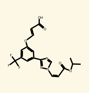 CC(C)OC(=O)/C=C\n1cnc(-c2cc(OC=CC(=O)O)cc(C(F)(F)F)c2)n1